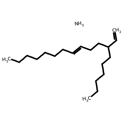 C=CC(CCC=CCCCCCCC)CCCCCC.N